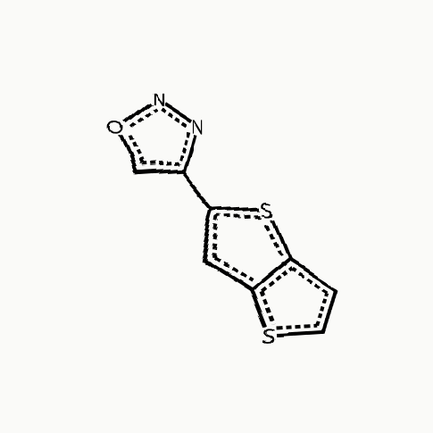 c1cc2sc(-c3conn3)cc2s1